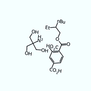 CCCCC(CC)COC(=O)c1ccc(C(=O)O)cc1C(=O)O.NC(CO)(CO)CO